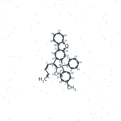 C=C/C=C\C1=C(C)[Si](c2ccccc2)(c2ccc(C)cc2)c2cc3oc4ccccc4c3cc21